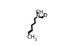 [CH2]C=CCCCN(C)C=O